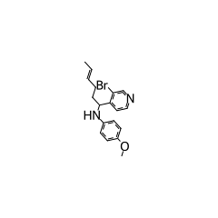 CC=CCCC(Nc1ccc(OC)cc1)c1ccncc1Br